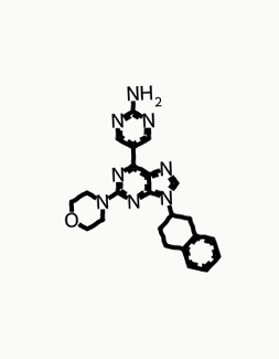 Nc1ncc(-c2nc(N3CCOCC3)nc3c2ncn3C2CCc3ccccc3C2)cn1